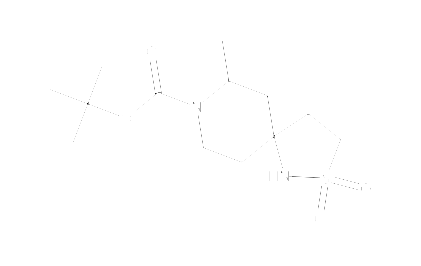 CC1CC2(CCN1C(=O)OC(C)(C)C)CCS(=O)(=O)N2